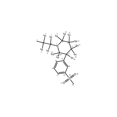 [2H]C([2H])(C)C([2H])([2H])N1C([2H])([2H])C([2H])([2H])C([2H])([2H])C([2H])(c2cccc(S(C)(=O)=O)c2)C1([2H])[2H]